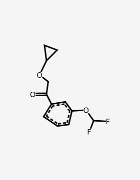 O=C(COC1CC1)c1cccc(OC(F)F)c1